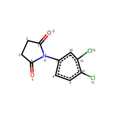 O=C1CCC(=O)N1c1ccc(Cl)c(Cl)c1